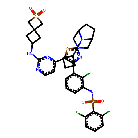 O=S1(=O)CC2(CC(Nc3nccc(-c4sc(N5C6CCC5CN(C5CCC5)C6)nc4-c4cccc(NS(=O)(=O)c5c(F)cccc5F)c4F)n3)C2)C1